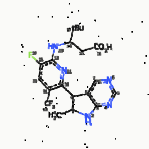 CC1Nc2ncncc2C1c1nc(NC(CC(=O)O)C(C)(C)C)c(F)cc1C(F)(F)F